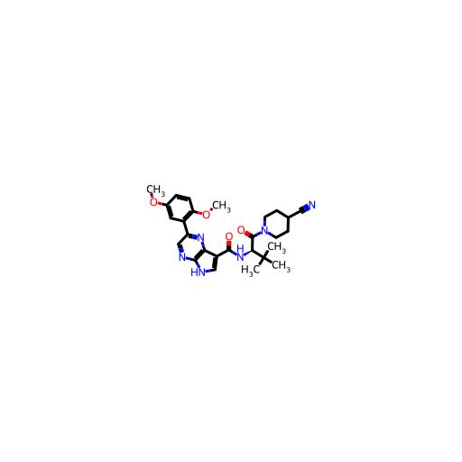 COc1ccc(OC)c(-c2cnc3[nH]cc(C(=O)N[C@@H](C(=O)N4CCC(C#N)CC4)C(C)(C)C)c3n2)c1